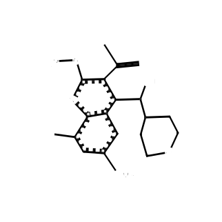 C=C(C)c1c(NN)nc2c(C)cc(OC)cc2c1C(O)C1CCOCC1